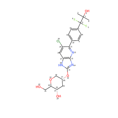 CC(C)(O)C(F)(F)c1ccc(-c2nc3nc(O[C@H]4COC(CO)[C@@H](O)C4)[nH]c3cc2Cl)cc1